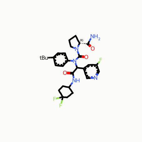 CC(C)(C)c1ccc(N(C(=O)N2CCC[C@@H]2C(N)=O)C(C(=O)NC2CCC(F)(F)CC2)c2cncc(F)c2)cc1